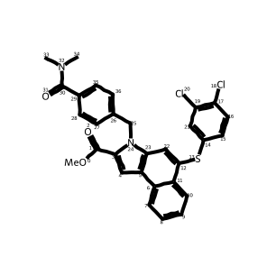 COC(=O)c1cc2c3ccccc3c(Sc3ccc(Cl)c(Cl)c3)cc2n1Cc1ccc(C(=O)N(C)C)cc1